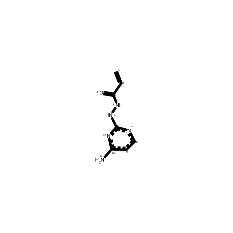 C=CC(=O)NNc1nccc(N)n1